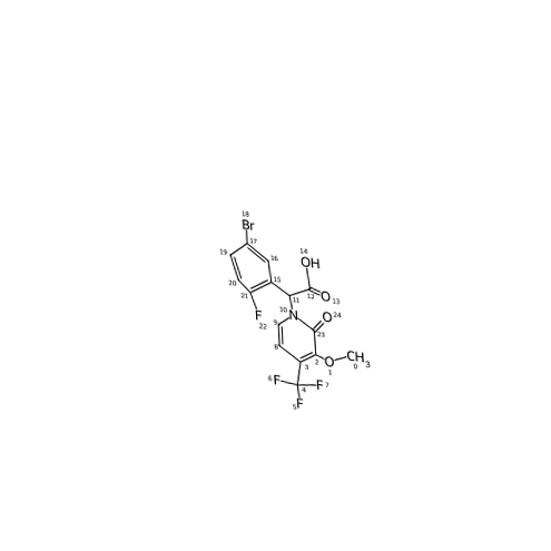 COc1c(C(F)(F)F)ccn(C(C(=O)O)c2cc(Br)ccc2F)c1=O